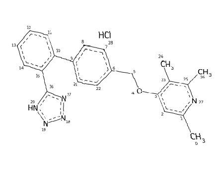 Cc1cc(OCc2ccc(-c3ccccc3-c3nnn[nH]3)cc2)c(C)c(C)n1.Cl